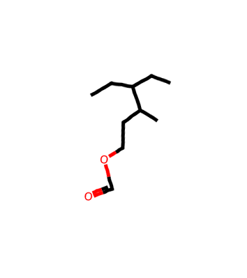 CCC(CC)C(C)CCOC=O